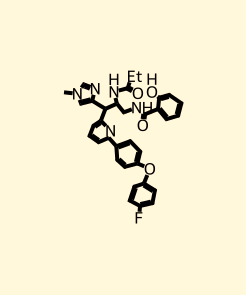 CCC(=O)NC(CNC(=O)c1ccccc1O)C(c1cn(C)cn1)c1cccc(-c2ccc(Oc3ccc(F)cc3)cc2)n1